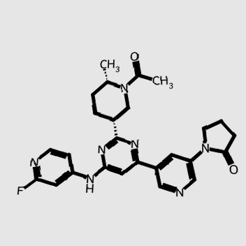 CC(=O)N1C[C@H](c2nc(Nc3ccnc(F)c3)cc(-c3cncc(N4CCCC4=O)c3)n2)CC[C@@H]1C